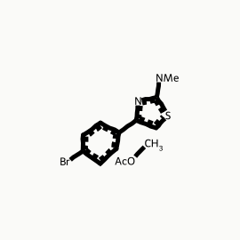 CNc1nc(-c2ccc(Br)cc2)cs1.COC(C)=O